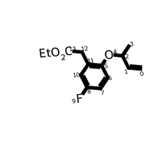 C=CC(C)Oc1ccc(F)cc1CC(=O)OCC